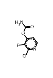 NC(=O)Oc1ccnc(Cl)c1F